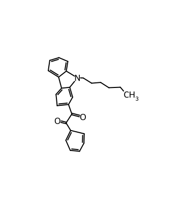 CCCCCCn1c2ccccc2c2ccc(C(=O)C(=O)c3ccccc3)cc21